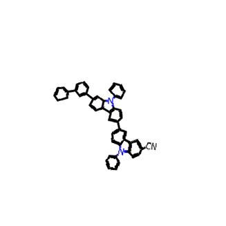 N#Cc1ccc2c(c1)c1cc(-c3ccc4c(c3)C3C=CC(c5cccc(C6=CC=CCC6)c5)=CC3N4c3ccccc3)ccc1n2-c1ccccc1